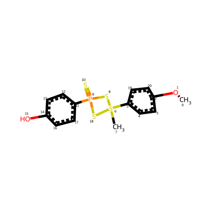 COc1ccc(S2(C)SP(=S)(c3ccc(O)cc3)S2)cc1